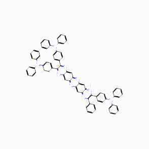 C1=C(c2nc3cc4nc5c(nc4cc3nc2-c2ccc(N(c3ccccc3)c3ccccc3)cc2)=C[C@@H]2NC(c3ccc(N(c4ccccc4)c4ccccc4)cc3)=C(c3ccccc3)N=C2C=5)CCC(N(c2ccccc2)c2ccccc2)=C1